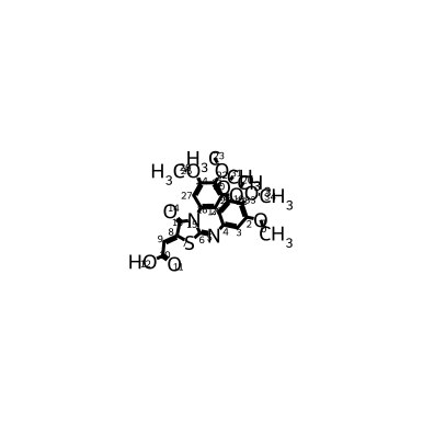 COc1cc(/N=C2/S/C(=C\C(=O)O)C(=O)N2c2cc(OC)c(OC)c(OC)c2)cc(OC)c1OC